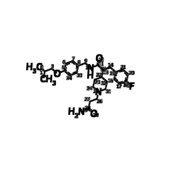 CC(C)COc1ccc(CNC(=O)[C@@H](Cc2ccc(F)cc2)C2CCN(CCC(N)=O)CC2)cc1